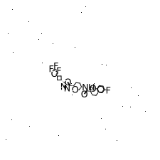 O=C(N[C@H]1CC[C@H](c2nnc([C@H]3C[C@@H](OC(F)(F)F)C3)o2)OC1)[C@@H]1CCc2cc(F)ccc2O1